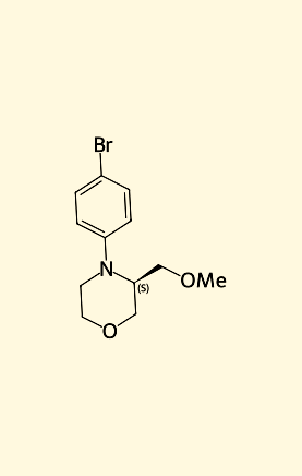 COC[C@H]1COCCN1c1ccc(Br)cc1